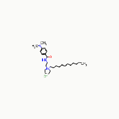 CCCCCCCCCCCC[N+]1(CCNC(=O)c2ccc(N(C)C)cc2)CCCC1.[Br-]